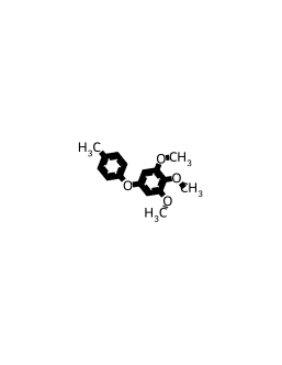 COc1cc(Oc2ccc(C)cc2)cc(OC)c1OC